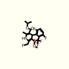 COC(=O)C1=C(CF)NC(C)=C(C(=O)OC(C)C)C1c1c(F)ccc(F)c1C(F)(F)F